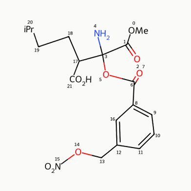 COC(=O)C(N)(OC(=O)c1cccc(CO[N+](=O)[O-])c1)C(CCC(C)C)C(=O)O